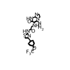 NC1=C(NCC(=O)Nc2nc(-c3ccc(OC(F)(F)F)cc3)cs2)C(=O)NC2=NCCN21